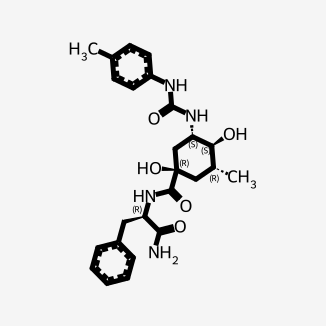 Cc1ccc(NC(=O)N[C@H]2C[C@@](O)(C(=O)N[C@H](Cc3ccccc3)C(N)=O)C[C@@H](C)[C@@H]2O)cc1